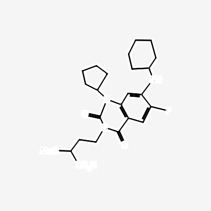 COC(CCn1c(=O)c2cc(F)c(NC3CCCCC3)cc2n(C2CCCC2)c1=O)C(=O)O